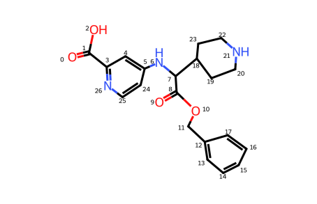 O=C(O)c1cc(NC(C(=O)OCc2ccccc2)C2CCNCC2)ccn1